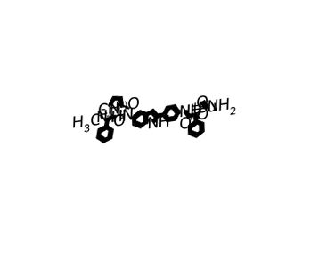 CN(C)[C@@H](C(=O)N1CCC[C@H]1C(=O)Nc1ccc2[nH]c(-c3ccc(NC(=O)[C@@](OC(N)=O)(c4ccccc4)C(C)(C)C)cc3)cc2c1)c1ccccc1